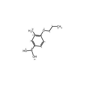 CCCOc1ccc(B(O)O)cc1C